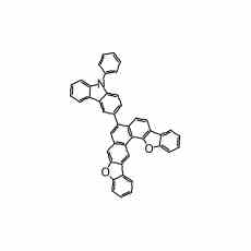 c1ccc(-n2c3ccccc3c3cc(-c4cc5cc6oc7ccccc7c6cc5c5c4ccc4c6ccccc6oc45)ccc32)cc1